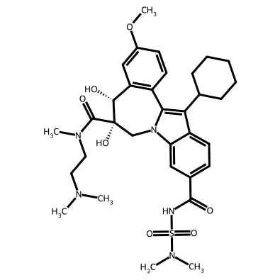 COc1ccc2c(c1)[C@@H](O)[C@](O)(C(=O)N(C)CCN(C)C)Cn1c-2c(C2CCCCC2)c2ccc(C(=O)NS(=O)(=O)N(C)C)cc21